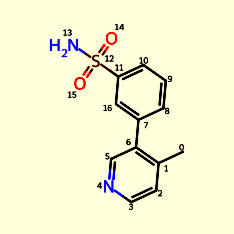 Cc1ccncc1-c1cccc(S(N)(=O)=O)c1